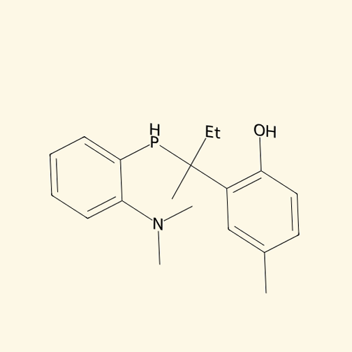 CCC(C)(Pc1ccccc1N(C)C)c1cc(C)ccc1O